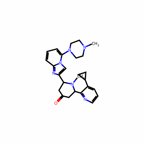 CN1CCN(c2cccc3nc(C4CC(=O)CC(c5ncccc5C5CC5)N4C)cn23)CC1